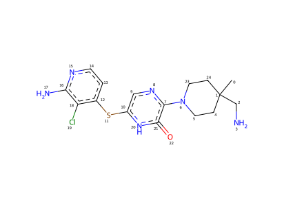 CC1(CN)CCN(c2ncc(Sc3ccnc(N)c3Cl)[nH]c2=O)CC1